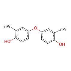 CCCc1cc(Oc2ccc(O)c(CCC)c2)ccc1O